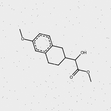 COC(=O)C(O)C1CCc2cc(OC)ccc2C1